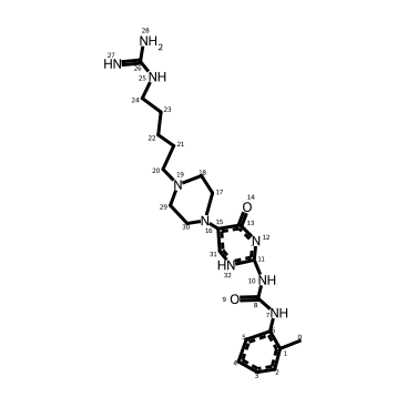 Cc1ccccc1NC(=O)Nc1nc(=O)c(N2CCN(CCCCCNC(=N)N)CC2)c[nH]1